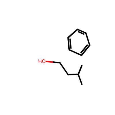 CC(C)CCO.c1ccccc1